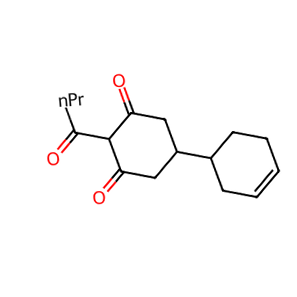 CCCC(=O)C1C(=O)CC(C2CC=CCC2)CC1=O